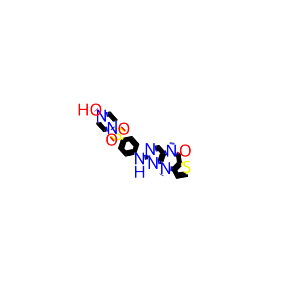 CN1C(=O)c2sccc2N(C)c2nc(Nc3ccc(S(=O)(=O)N4CCN(O)CC4)cc3)ncc21